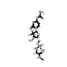 CNC(=O)[C@H](C)NP(=O)(O)OC[C@H]1O[C@@H](n2ccc(OC(N)=O)nc2=O)C(F)(F)[C@@H]1O